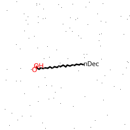 CCCCCCCCCCCCCCCCCCCCCCCCCCCCCCCC([O])O